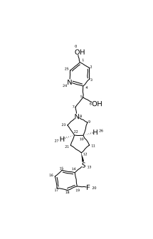 Oc1ccc(C(O)CN2C[C@H]3C[C@@H](Sc4ccccc4F)C[C@H]3C2)nc1